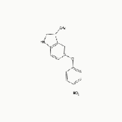 CC(=O)OC1CNc2ccc(Oc3ccc([N+](=O)[O-])cn3)cc21